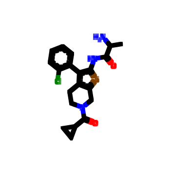 CC(N)C(=O)Nc1sc2c(c1-c1ccccc1Cl)CCN(C(=O)C1CC1)C2